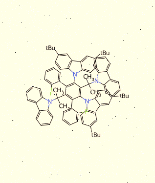 CC(C)(C)c1ccc2c(c1)c1cc(C(C)(C)C)ccc1n2-c1c(-c2ccccc2F)c(C(C)(C)n2c3ccccc3c3ccccc32)c(-c2ccccc2F)c(-n2c3ccc(C(C)(C)C)cc3c3cc(C(C)(C)C)ccc32)c1C(C)(C)n1c2ccccc2c2ccccc21